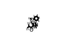 COc1ccccc1-n1nnc(C(=O)C(C)C)c1C